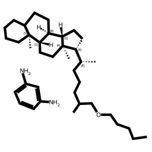 CCCCCOCC(C)CCC[C@@H](C)[C@H]1CC[C@H]2[C@@H]3CCC4CCCC[C@]4(C)[C@H]3CC[C@]12C.Nc1cccc(N)c1